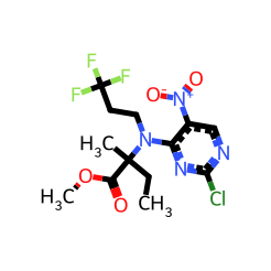 CCC(C)(C(=O)OC)N(CCC(F)(F)F)c1nc(Cl)ncc1[N+](=O)[O-]